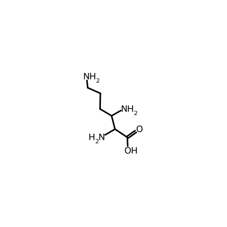 NCCCC(N)C(N)C(=O)O